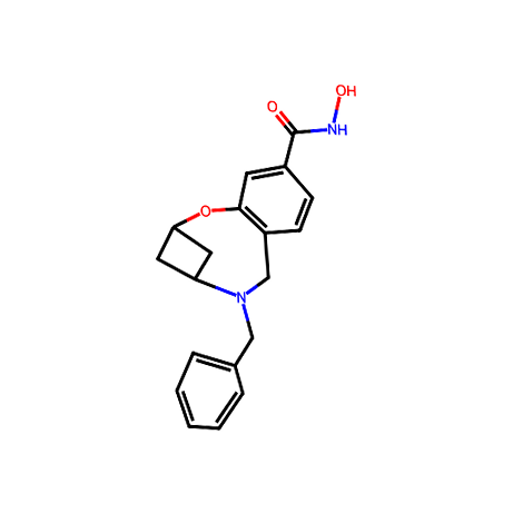 O=C(NO)c1ccc2c(c1)OC1CC(C1)N(Cc1ccccc1)C2